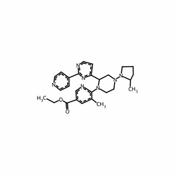 CCOC(=O)c1cnc(N2CCN(N3CCCC3C)CC2c2ccnc(-c3ccncc3)n2)c(C)c1